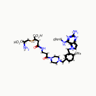 CCCCCNc1nc(N)nc2ccn(Cc3cc(CN4CCN(C(=O)CCNC(=O)CC(SCC(N)C(=O)O)C(=O)O)CC4)ccc3OC)c12